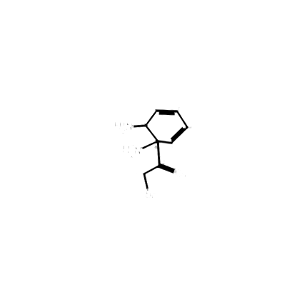 NC1C=CC=CC1(N)C(=O)CBr